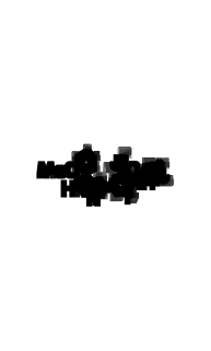 COc1ccccc1-c1c[nH]c2ncc(-c3cc(F)c(NCc4cc(C)n(C)n4)c(C(=O)N(C)C)c3)cc12